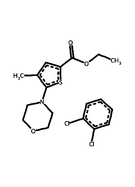 CCOC(=O)c1cc(C)c(N2CCOCC2)s1.Clc1ccccc1Cl